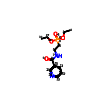 CCOP(=O)(CCNC(=O)c1cccnc1)OCC